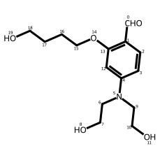 O=Cc1ccc(N(CCO)CCO)cc1OCCCCO